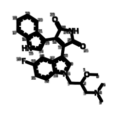 COC(CN(C)C)Cn1cc(C2=C(c3c[nH]c4ccccc34)C(=O)NC2=O)c2cc(F)ccc21